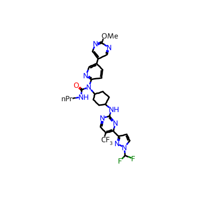 CCCNC(=O)N(c1ccc(-c2cnc(OC)nc2)cn1)C1CCC(Nc2ncc(C(F)(F)F)c(-c3ccn(C(F)F)n3)n2)CC1